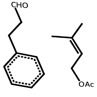 CC(=O)OCC=C(C)C.O=CCCc1ccccc1